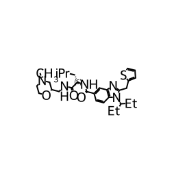 CCC(CC)n1c(Cc2cccs2)nc2cc(C(=O)N[C@@H](CC(C)C)C(=O)NCC3CN(C)CCO3)ccc21